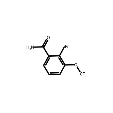 CC(C)c1c(OC(F)(F)F)cccc1C(N)=O